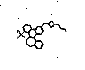 FCCCN1CC(Cc2ccc(C3=C(c4c(F)cccc4C(F)(F)F)CCCc4ccccc43)cc2)C1